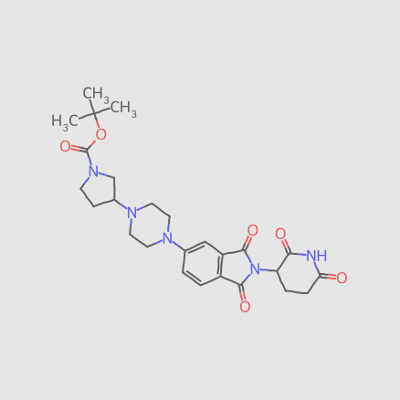 CC(C)(C)OC(=O)N1CCC(N2CCN(c3ccc4c(c3)C(=O)N(C3CCC(=O)NC3=O)C4=O)CC2)C1